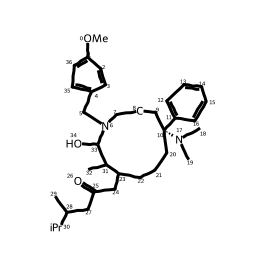 COc1ccc(CN2CCC[C@](c3ccccc3)(N(C)C)CCCC(CC(=O)CC(C)C(C)C)C(C)C2O)cc1